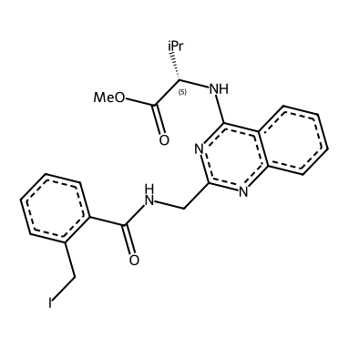 COC(=O)[C@@H](Nc1nc(CNC(=O)c2ccccc2CI)nc2ccccc12)C(C)C